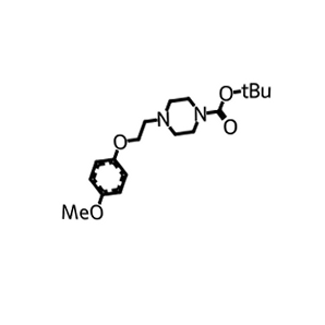 COc1ccc(OCCN2CCN(C(=O)OC(C)(C)C)CC2)cc1